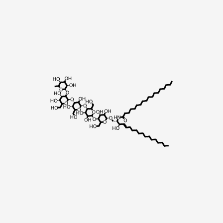 CCCCCCCCCCCCC/C=C/[C@@H](O)[C@H](CO[C@@H]1OC(CO)[C@@H](O[C@@H]2OC(CO)[C@H](O[C@@H]3OC(CO)[C@H](O)[C@H](O[C@H]4OC(CO)[C@H](O)[C@H](O)C4O[C@H]4OC(C)[C@@H](O)C(O)[C@@H]4O)C3O)[C@H](O)C2O)[C@H](O)C1O)NC(=O)CCCCCCCCCCCCCCCCC